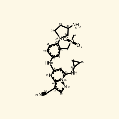 CS(=O)(=O)Cc1cc(Nc2cc(NC3CC3)n3ncc(C#N)c3n2)ccc1N1CCC(N)C1